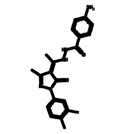 CC1=NN(c2ccc(C)c(C)c2)C(=O)/C1=C(/C)NNC(=O)c1ccc(N)cc1